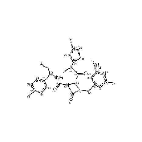 CCC(NC(=O)N1C(=O)[C@H](Cc2cc(C)nc(N)c2)[C@H]1C(=O)N(C)c1ccn(C)n1)c1ccc(C)cc1